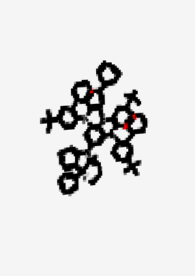 CC(C)(C)c1ccc2c(c1)B1c3cc(-c4ccccc4)ccc3N(c3ccc(C(C)(C)C)cc3-c3ccccc3)c3cc(N4c5ccccc5C5(c6ccccc6)CCCCC45C)cc(c31)N2c1ccc(C(C)(C)C)cc1-c1ccccc1